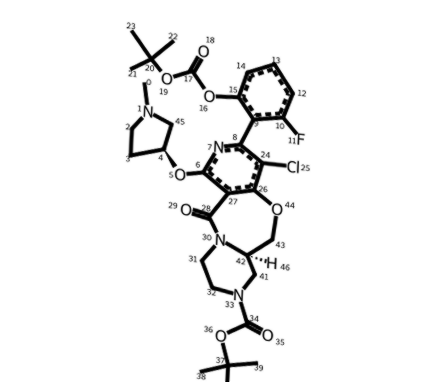 CN1CC[C@H](Oc2nc(-c3c(F)cccc3OC(=O)OC(C)(C)C)c(Cl)c3c2C(=O)N2CCN(C(=O)OC(C)(C)C)C[C@@H]2CO3)C1